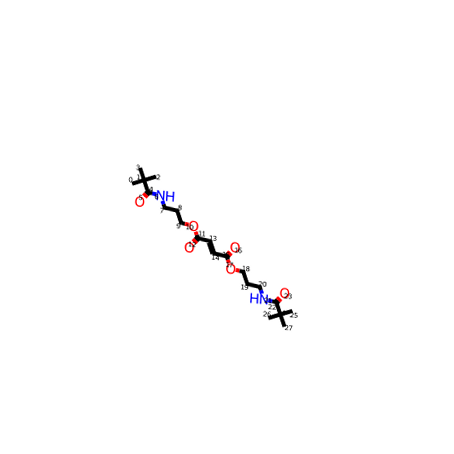 CC(C)(C)C(=O)NCCCOC(=O)/C=C/C(=O)OCCCNC(=O)C(C)(C)C